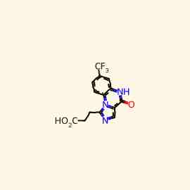 O=C(O)CCc1ncc2c(=O)[nH]c3cc(C(F)(F)F)ccc3n12